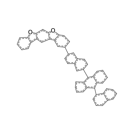 c1ccc2c(-c3c4ccccc4c(-c4ccc5cc(-c6ccc7oc8cc9oc%10ccccc%10c9cc8c7c6)ccc5c4)c4ccccc34)cccc2c1